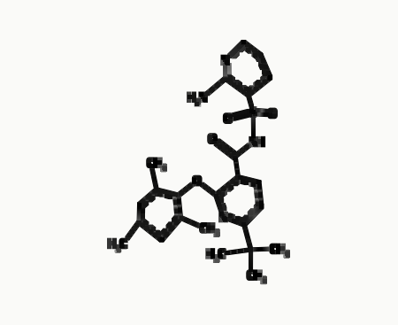 Cc1cc(C)c(Oc2nc(C(C)(C)C)ccc2C(=O)NS(=O)(=O)c2cccnc2N)c(C)c1